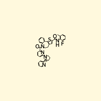 Cc1cccc(F)c1NC(=O)c1cc2c(s1)-c1ccccc1N(C(=O)c1cccc(N3CCC[C@H]3c3ccccn3)n1)CC2